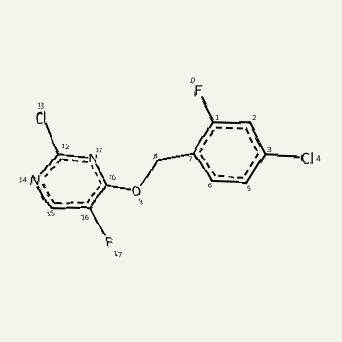 Fc1cc(Cl)ccc1COc1nc(Cl)ncc1F